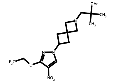 CC(=O)OC(C)(C)CN1CC2(CC(n3cc([N+](=O)[O-])c(OCC(F)(F)F)n3)C2)C1